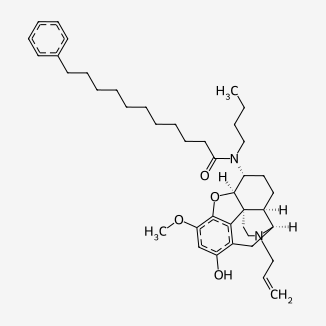 C=CCN1CC[C@]23c4c5c(O)cc(OC)c4O[C@H]2[C@H](N(CCCC)C(=O)CCCCCCCCCCc2ccccc2)CC[C@H]3[C@H]1C5